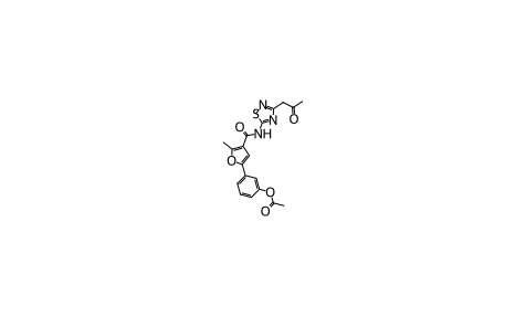 CC(=O)Cc1nsc(NC(=O)c2cc(-c3cccc(OC(C)=O)c3)oc2C)n1